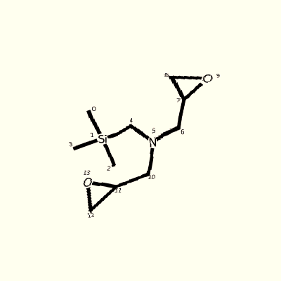 C[Si](C)(C)CN(CC1CO1)CC1CO1